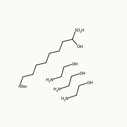 CCCCCCCCCCCCCCCCCC(O)S(=O)(=O)O.NCCO.NCCO.NCCO